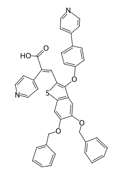 O=C(O)/C(=C/c1sc2cc(OCc3ccccc3)c(OCc3ccccc3)cc2c1Oc1ccc(-c2ccncc2)cc1)c1ccncc1